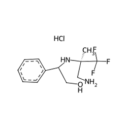 C[C@](CN)(NC(CO)c1ccccc1)C(F)(F)F.Cl